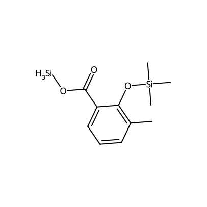 Cc1cccc(C(=O)O[SiH3])c1O[Si](C)(C)C